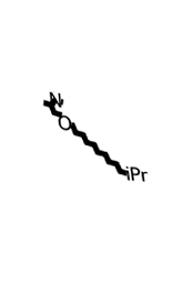 CC(C)CCCCCCCCCCOCCC(C)N(C)C